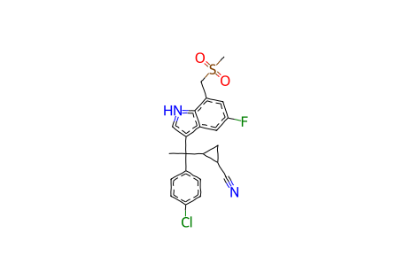 CC(c1ccc(Cl)cc1)(c1c[nH]c2c(CS(C)(=O)=O)cc(F)cc12)C1CC1C#N